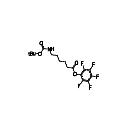 CC(C)(C)OC(=O)NCCCCCC(=O)Oc1c(F)c(F)c(F)c(F)c1F